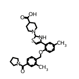 Cc1ccc(OCc2ccc(C(=O)N3CCCC3)cc2C)c(C2=CSC(N3CCC(C(=O)O)CC3)N2)c1